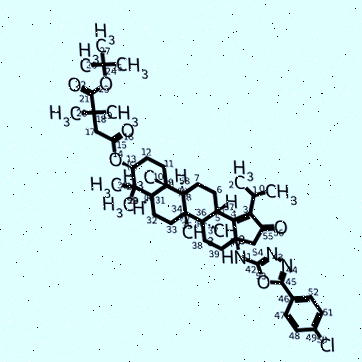 CC(C)C1=C2[C@H]3CC[C@@H]4[C@@]5(C)CC[C@H](OC(=O)CC(C)(C)C(=O)OC(C)(C)C)C(C)(C)[C@@H]5CC[C@@]4(C)[C@]3(C)CC[C@@]2(Nc2nnc(-c3ccc(Cl)cc3)o2)CC1=O